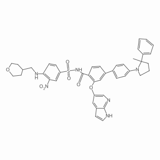 CC1(c2ccccc2)CCCN1c1ccc(-c2ccc(C(=O)NS(=O)(=O)c3ccc(NCC4CCOCC4)c([N+](=O)[O-])c3)c(Oc3cnc4[nH]ccc4c3)c2)cc1